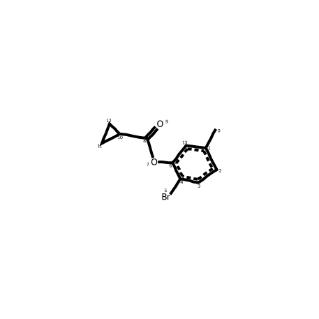 Cc1ccc(Br)c(OC(=O)C2CC2)c1